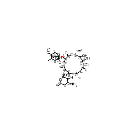 CC[C@H]1OC(=O)[C@H](C)[C@@H](O[C@H]2CC3(C)C(OC)C(O2)[C@@H]3O)[C@H](C)[C@@H](O[C@@H]2OC(C)CC(N)C2O)[C@](C)(O)C[C@@H](C)CN(C)[C@H](C)[C@@H](O)[C@]1(C)O